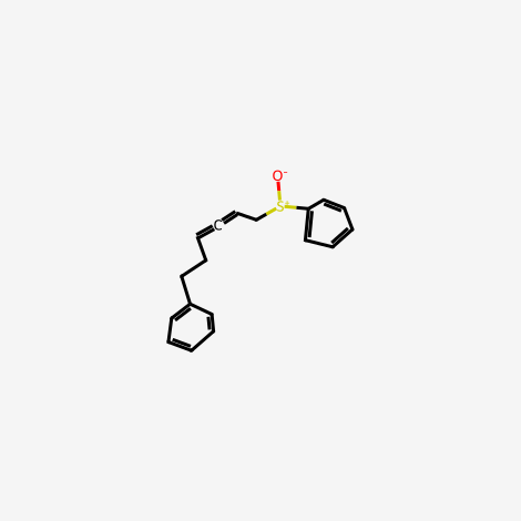 [O-][S+](CC=C=CCCc1ccccc1)c1ccccc1